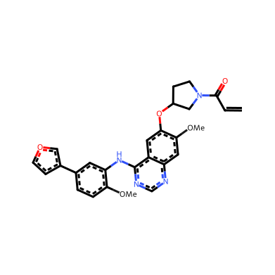 C=CC(=O)N1CCC(Oc2cc3c(Nc4cc(-c5ccoc5)ccc4OC)ncnc3cc2OC)C1